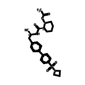 N#C[C@H](Cc1ccc(-c2ccc(S(=O)(=O)N3CCC3)cc2)cc1)NC(=O)[C@@H]1CCCCN1OC(=O)C(F)(F)F